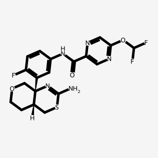 NC1=N[C@@]2(c3cc(NC(=O)c4cnc(OC(F)F)cn4)ccc3F)COCC[C@H]2CS1